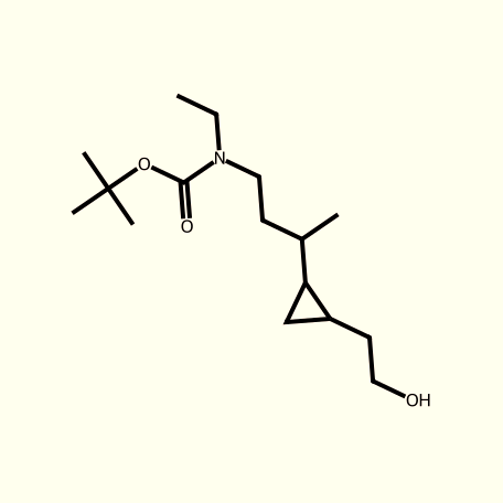 CCN(CCC(C)C1CC1CCO)C(=O)OC(C)(C)C